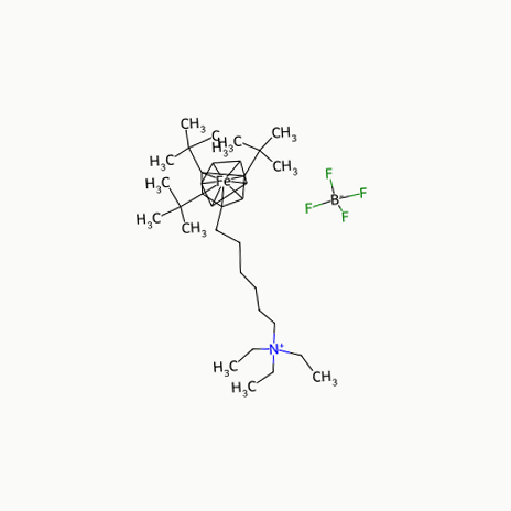 CC[N+](CC)(CC)CCCCCC[C]12[CH]3[C]4(C(C)(C)C)[C]5(C(C)(C)C)[C]1(C(C)(C)C)[Fe]32451678[CH]2[CH]1[CH]6[CH]7[CH]28.F[B-](F)(F)F